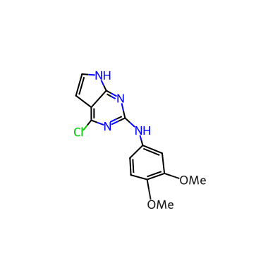 COc1ccc(Nc2nc(Cl)c3cc[nH]c3n2)cc1OC